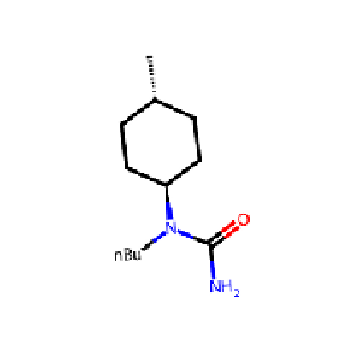 CCCCN(C(N)=O)[C@H]1CC[C@H](C)CC1